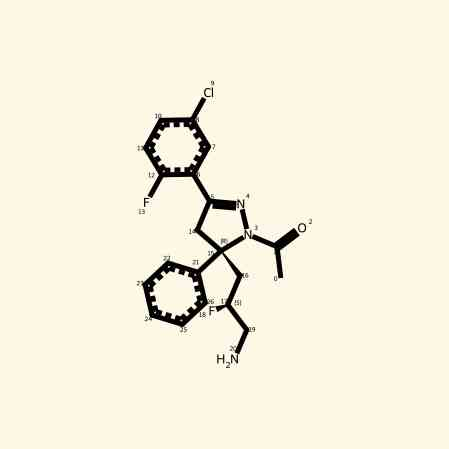 CC(=O)N1N=C(c2cc(Cl)ccc2F)C[C@@]1(C[C@H](F)CN)c1ccccc1